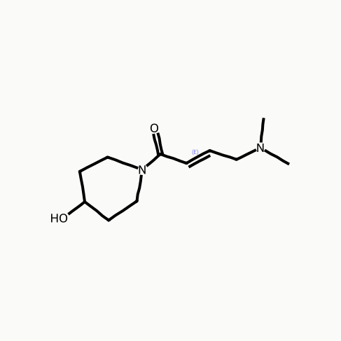 CN(C)C/C=C/C(=O)N1CCC(O)CC1